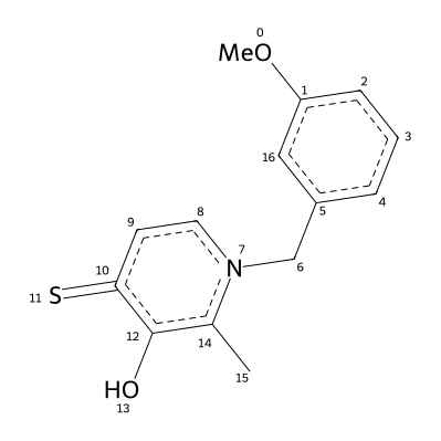 COc1cccc(Cn2ccc(=S)c(O)c2C)c1